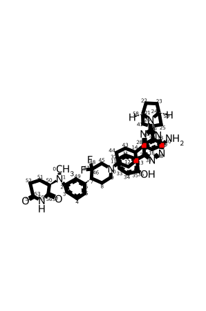 CN(c1cccc([C@H]2CCN(C3CCC(c4ccnc(N5[C@@H]6CC[C@H]5CN(c5cc(-c7ccccc7O)nnc5N)C6)n4)CC3)CC2(F)F)c1)[C@@H]1CCC(=O)NC1=O